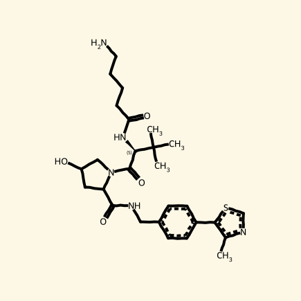 Cc1ncsc1-c1ccc(CNC(=O)C2CC(O)CN2C(=O)[C@@H](NC(=O)CCCCN)C(C)(C)C)cc1